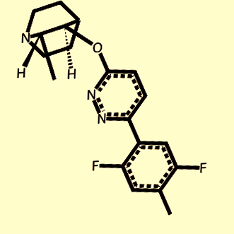 Cc1cc(F)c(-c2ccc(O[C@@H]3C4CCN(CC4)[C@H]3C)nn2)cc1F